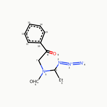 CCC(N=[N+]=[N-])N(C=O)CC(=O)c1ccccc1